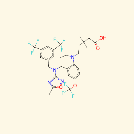 CCN(CCC(C)(C)CC(=O)O)c1ccc(OC(F)(F)F)cc1CN(Cc1cc(C(F)(F)F)cc(C(F)(F)F)c1)c1noc(C)n1